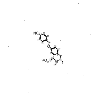 C[C@H](Cc1ccc(OCc2ccc(C#N)cc2)cc1)N(C)CC(=O)O